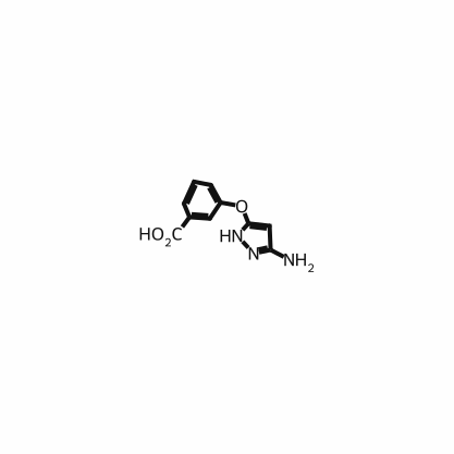 Nc1cc(Oc2cccc(C(=O)O)c2)[nH]n1